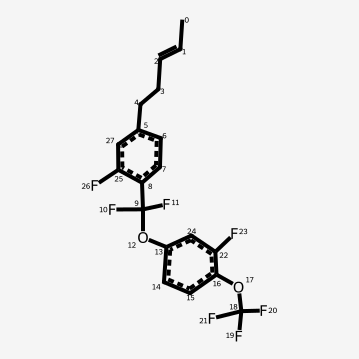 C/C=C/CCc1ccc(C(F)(F)Oc2ccc(OC(F)(F)F)c(F)c2)c(F)c1